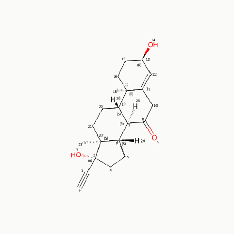 C#C[C@]1(O)CC[C@H]2[C@@H]3C(=O)CC4=C[C@H](O)CC[C@]4(C)[C@H]3CC[C@@]21C